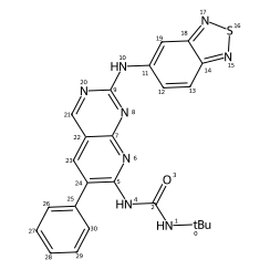 CC(C)(C)NC(=O)Nc1nc2nc(Nc3ccc4nsnc4c3)ncc2cc1-c1ccccc1